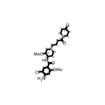 COc1cc(N)c(Cl)cc1C(=O)NC1CCN(CCCC(=O)N2CCC(=O)CC2)CC1OC